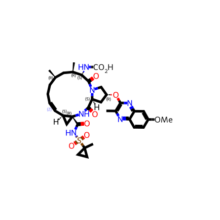 COc1ccc2nc(C)c(O[C@@H]3C[C@H]4C(=O)N[C@]5(C(=O)NS(=O)(=O)C6(C)CC6)C[C@H]5/C=C\CC[C@@H](C)C[C@@H](C)[C@H](NC(=O)O)C(=O)N4C3)nc2c1